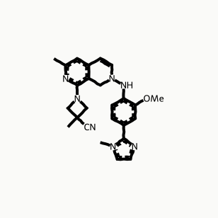 COc1cc(-c2nccn2C)ccc1NN1C=Cc2cc(C)nc(N3CC(C)(C#N)C3)c2C1